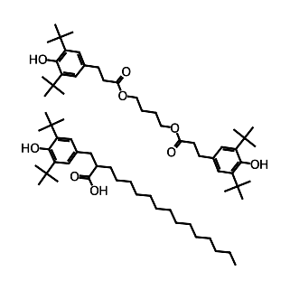 CC(C)(C)c1cc(CCC(=O)OCCCCOC(=O)CCc2cc(C(C)(C)C)c(O)c(C(C)(C)C)c2)cc(C(C)(C)C)c1O.CCCCCCCCCCCCCCC(Cc1cc(C(C)(C)C)c(O)c(C(C)(C)C)c1)C(=O)O